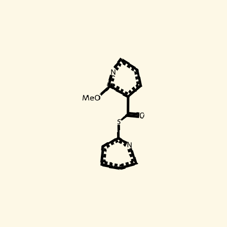 COc1ncccc1C(=O)Sc1ccccn1